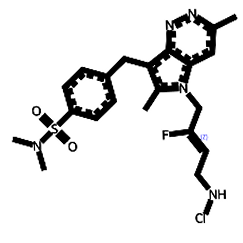 Cc1cc2c(nn1)c(Cc1ccc(S(=O)(=O)N(C)C)cc1)c(C)n2C/C(F)=C/CNCl